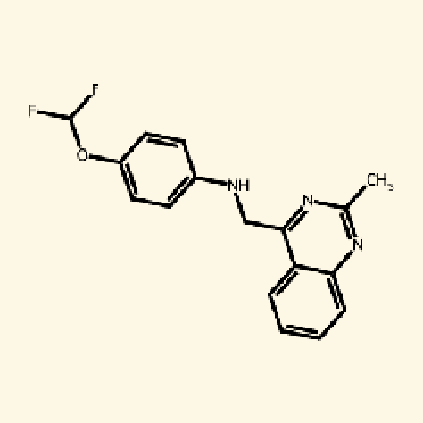 Cc1nc(CNc2ccc(OC(F)F)cc2)c2ccccc2n1